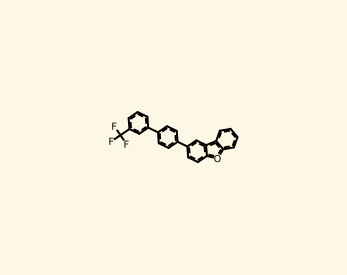 FC(F)(F)c1cccc(-c2ccc(-c3ccc4oc5ccccc5c4c3)cc2)c1